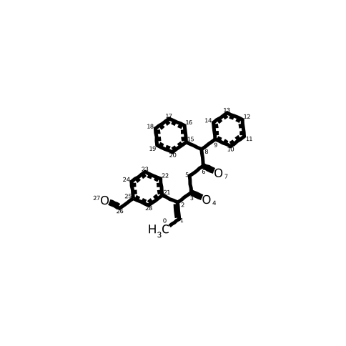 CC=C(C(=O)CC(=O)C(c1ccccc1)c1ccccc1)c1cccc(C=O)c1